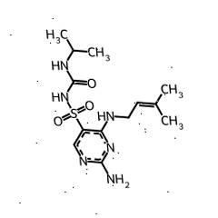 CC(C)=CCNc1nc(N)ncc1S(=O)(=O)NC(=O)NC(C)C